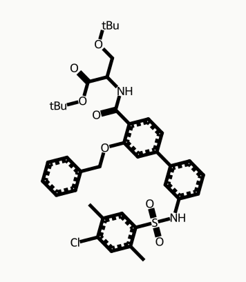 Cc1cc(S(=O)(=O)Nc2cccc(-c3ccc(C(=O)NC(COC(C)(C)C)C(=O)OC(C)(C)C)c(OCc4ccccc4)c3)c2)c(C)cc1Cl